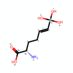 N[C@@H](CC/C=C/[B-](O)(O)O)C(=O)O